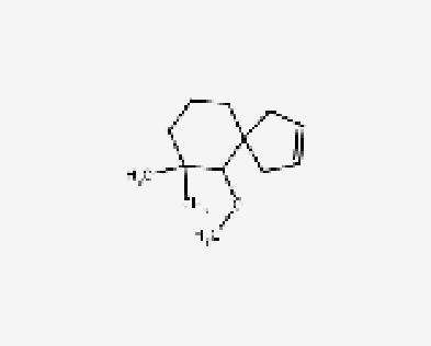 COC1C(C)(C)CCCC12CC=CC2